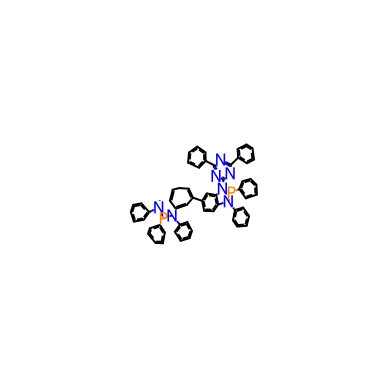 CN(c1ccccc1)P(c1ccccc1)N(C1=CC(c2ccc3c(c2)N(c2nc(-c4ccccc4)nc(-c4ccccc4)n2)P(c2ccccc2)N3c2ccccc2)=CCC=C1)c1ccccc1